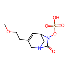 COCCC1=CC2CN(C1)C(=O)N2OS(=O)(=O)O